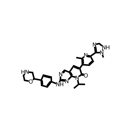 Cc1nc(C2=NCNN2C)ccc1-c1cc2cnc(Nc3ccc(C4CNCCO4)cc3)nc2n(C(C)C)c1=O